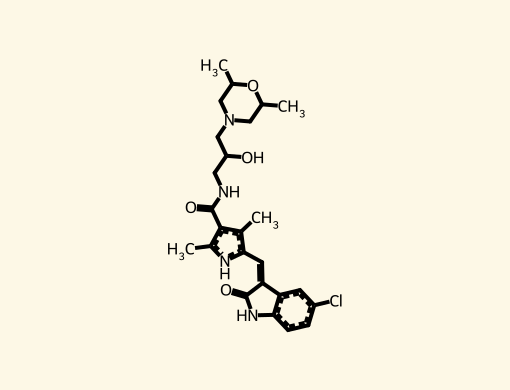 Cc1[nH]c(C=C2C(=O)Nc3ccc(Cl)cc32)c(C)c1C(=O)NCC(O)CN1CC(C)OC(C)C1